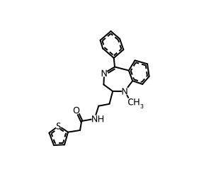 CN1c2ccccc2C(c2ccccc2)=NCC1CCNC(=O)Cc1cccs1